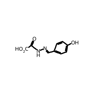 O=C(O)C(=O)NN=Cc1ccc(O)cc1